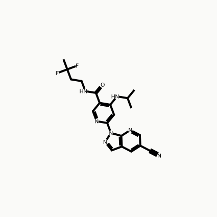 CC(C)Nc1cc(-n2ncc3cc(C#N)cnc32)ncc1C(=O)NCCC(C)(F)F